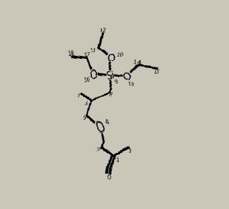 C=C(C)COCC(C)C[Si](OCC)(OCC)OCC